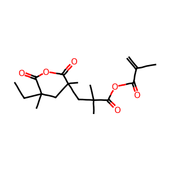 C=C(C)C(=O)OC(=O)C(C)(C)CC1(C)CC(C)(CC)C(=O)OC1=O